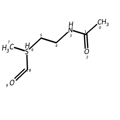 CC(=O)NCC[SH](C)[C]=O